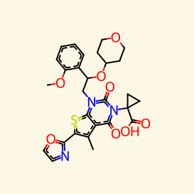 COc1ccccc1C(Cn1c(=O)n(C2(C(=O)O)CC2)c(=O)c2c(C)c(-c3ncco3)sc21)OC1CCOCC1